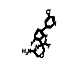 NC1=NC(c2cc(-c3cncc(Cl)c3)ccc2F)(C(F)F)COC1